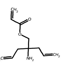 C=CCC(N)(CC=C)COC(=O)C=C